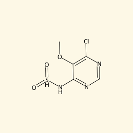 COc1c(Cl)ncnc1N[SH](=O)=O